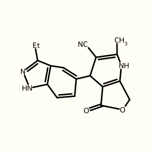 CCc1n[nH]c2ccc(C3C(C#N)=C(C)NC4=C3C(=O)OC4)cc12